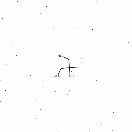 CC(O)(CO)CO